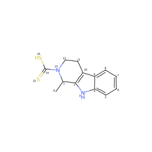 CC1c2[nH]c3ccccc3c2CCN1C(=S)S